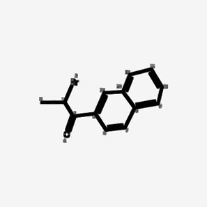 CC(Br)C(=O)c1ccc2ccccc2c1